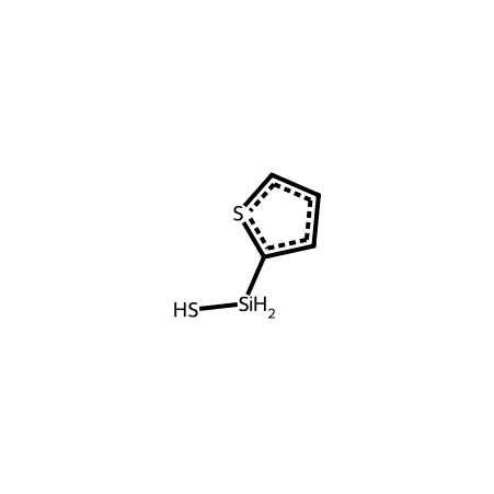 S[SiH2]c1cccs1